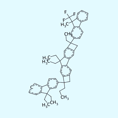 CCCC1(c2ccc3c(c2)C(CC)(CC)c2ccccc2-3)Cc2cc3c(cc21)C(CC)(CC)c1cc2c(cc1-3)CC2(CC)c1ccc2c(c1)C(C)(C(F)(F)F)c1ccccc1-2